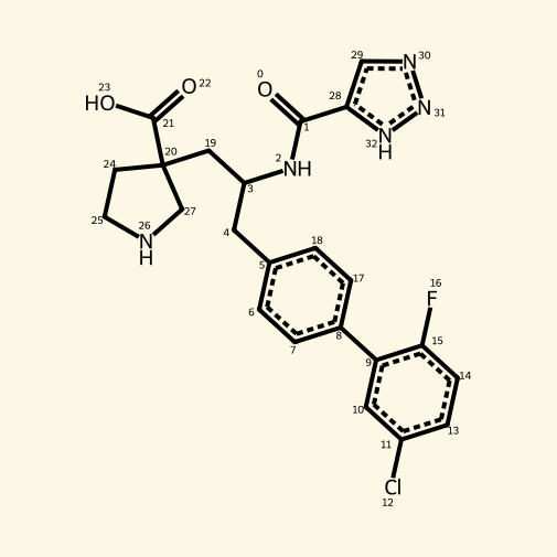 O=C(NC(Cc1ccc(-c2cc(Cl)ccc2F)cc1)CC1(C(=O)O)CCNC1)c1cnn[nH]1